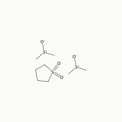 C[S+](C)[O-].C[S+](C)[O-].O=S1(=O)CCCC1